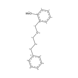 COc1ccccc1COCCCc1ccccc1